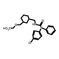 O=C(O)COCC1CCCC(CNC(=O)N(c2ccccc2)c2ccc(Cl)cc2)C1